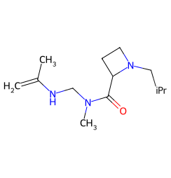 C=C(C)NCN(C)C(=O)C1CCN1CC(C)C